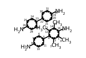 Cc1c(C)c(-c2ccc(N)cc2)c(C)c(C)c1N.Nc1ccc(-c2ccc(N)cc2)cc1